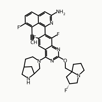 C#Cc1c(F)ccc2cc(N)nc(-c3c(F)cc4c(N5CCC6CNC(C6)C5)nc(OCC56CCCN5C[C@H](F)C6)nc4c3F)c12